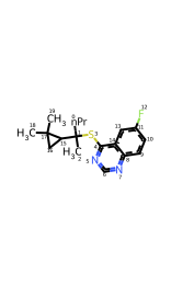 CCCC(C)(Sc1ncnc2ccc(F)cc12)C1CC1(C)C